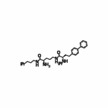 CC(C)CCCNC(=O)[C@H](N)CCCNC(=O)[C@@H](CCc1ccc(-c2ccccc2)cc1)NC(C)C